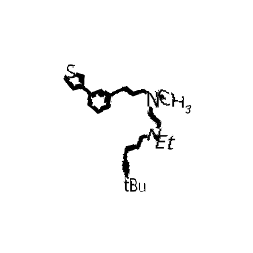 CCN(CC=CC#CC(C)(C)C)CCN(C)CC=Cc1cccc(-c2ccsc2)c1